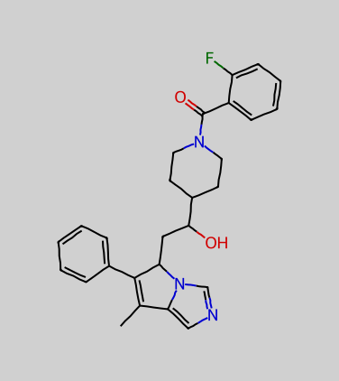 CC1=C(c2ccccc2)C(CC(O)C2CCN(C(=O)c3ccccc3F)CC2)n2cncc21